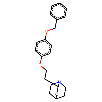 c1ccc(COc2ccc(OCCC3CC4CCN3CC4)cc2)cc1